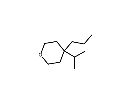 CCCC1(C(C)C)CCOCC1